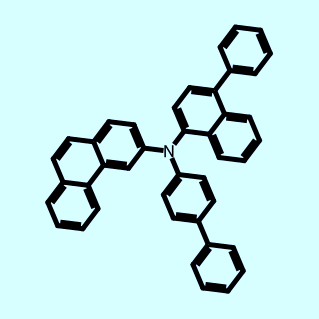 c1ccc(-c2ccc(N(c3ccc4ccc5ccccc5c4c3)c3ccc(-c4ccccc4)c4ccccc34)cc2)cc1